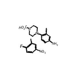 Cc1cc(N)ccc1N1CCN(C(=O)O)CC1.Cc1cc([N+](=O)[O-])ccc1F